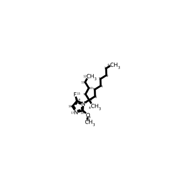 CCCCCCCC(C)(CCCC)n1c(F)cnc1OC